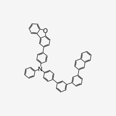 c1ccc(N(c2ccc(-c3cccc(-c4cccc(-c5ccc6ccccc6c5)c4)c3)cc2)c2ccc(-c3ccc4oc5ccccc5c4c3)cc2)cc1